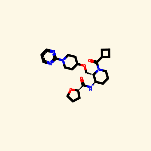 O=C(N[C@H]1CCCN(C(=O)C2CCC2)[C@H]1COC1CCN(c2ncccn2)CC1)[C@@H]1CCCO1